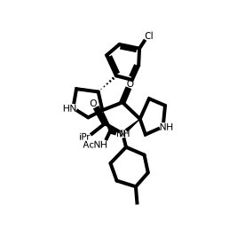 CC(=O)NC(=N)[C@@]1(C(=O)[C@]2(N(C(=O)C(C)C)C3CCC(C)CC3)CCNC2)CNC[C@@H]1c1ccc(Cl)cc1